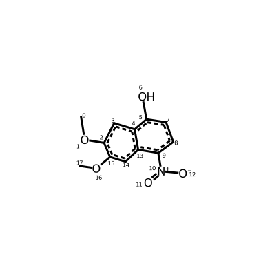 COc1cc2c(O)ccc([N+](=O)[O-])c2cc1OC